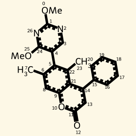 COc1ncc(-c2c(C)cc3oc(=O)cc(-c4ccccc4)c3c2C)c(OC)n1